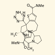 C=C(CN[C@H](C)CC1(C(=N)/N=N\N)c2sc(C(=O)NC)cc2CCc2cc(C(=O)NC)sc21)N1CCCC1C#N